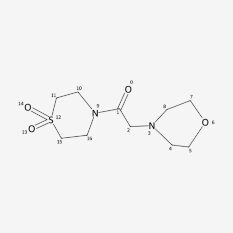 O=C(CN1CCOCC1)N1CCS(=O)(=O)CC1